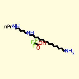 CCCNCCCCCNCCCCCCCCCCCCCCCN.O=C(O)C(F)(F)F